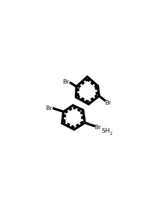 Brc1ccc(Br)cc1.Brc1ccc(Br)cc1.S